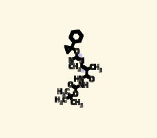 C=N/C(=N\C=C(/C)C(=O)NNC(=O)OC(C)(C)C)OC1(c2ccccc2)CC1